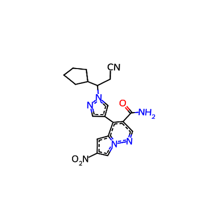 N#CCC(C1CCCC1)n1cc(-c2c(C(N)=O)cnn3cc([N+](=O)[O-])cc23)cn1